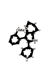 COc1ccccc1-c1c(-c2ccncc2)[nH]c2cccnc12